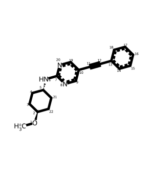 CO[C@H]1CC[C@H](Nc2ncc(C#Cc3ccccc3)cn2)CC1